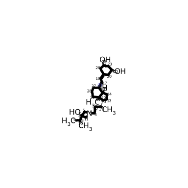 CC(CCN1CC(O)(C(C)C)C1)[C@H]1CC[C@H]2/C(=C/C=C3C[C@@H](O)C[C@H](O)C3)CCC[C@]12C